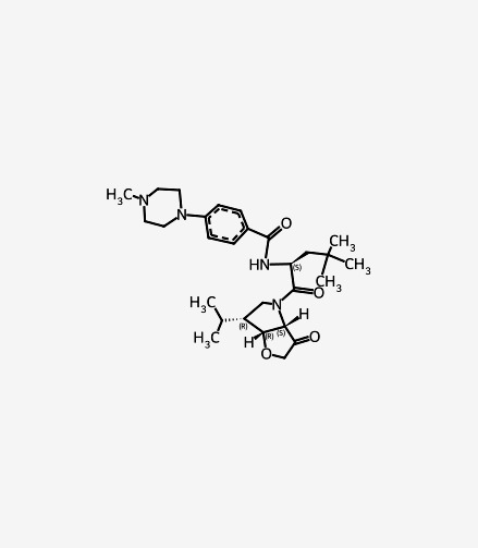 CC(C)[C@@H]1CN(C(=O)[C@H](CC(C)(C)C)NC(=O)c2ccc(N3CCN(C)CC3)cc2)[C@@H]2C(=O)CO[C@@H]21